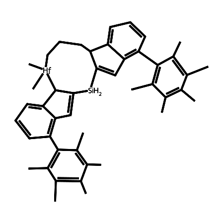 Cc1c(C)c(C)c(-c2cccc3c2C=C2[SiH2]C4=Cc5c(-c6c(C)c(C)c(C)c(C)c6C)cccc5[CH]4[Hf]([CH3])([CH3])[CH2]CCC23)c(C)c1C